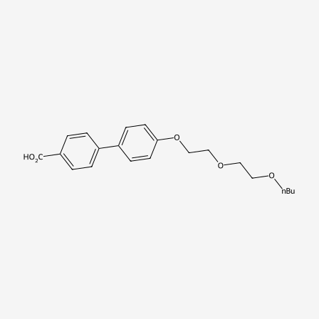 CCCCOCCOCCOc1ccc(-c2ccc(C(=O)O)cc2)cc1